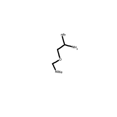 CCCC(N)COCNC